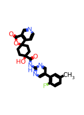 Cc1ccc(F)c(-c2cnc(NC(=O)C3(O)CCC4(CC3)OC(=O)c3cnccc34)nc2)c1